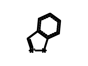 C1=[N+][N]c2ccccc21